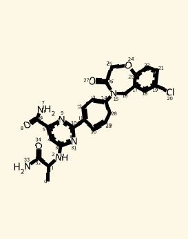 CC(Nc1cc(C(N)=O)nc(C2=CC=C(N3Cc4cc(Cl)ccc4OCC3=O)CC=C2)n1)C(N)=O